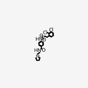 O=C(NCCN1CCCC1)c1ccc(NS(=O)(=O)CCc2cccc(Cl)c2Cl)cc1